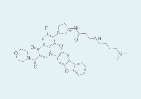 CN(C)CCCCNCCC(=O)N[C@@H]1CCN(c2c(F)cc3c(=O)c(C(=O)N4CCOCC4)cn4c3c2Oc2cc3c(cc2-4)oc2ccccc23)C1